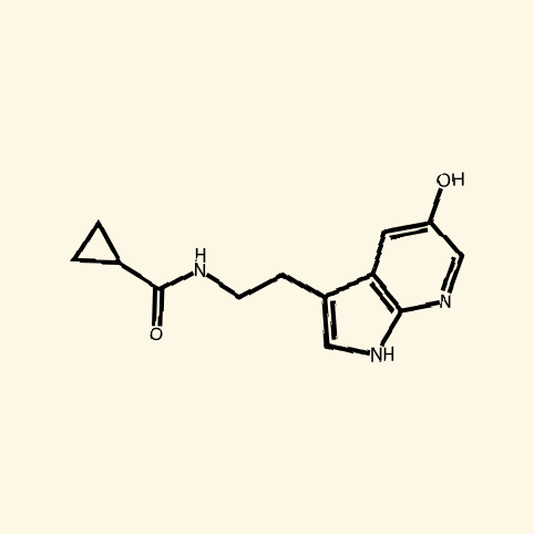 O=C(NCCc1c[nH]c2ncc(O)cc12)C1CC1